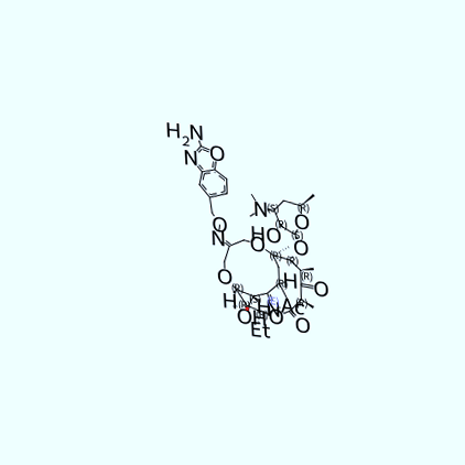 CC[C@H]1OC(=O)[C@H](C)C(=O)[C@H](C)[C@@H](O[C@@H]2O[C@H](C)C[C@H](N(C)C)[C@H]2O)[C@@]2(C)C[C@@H](C)/C(=N\C(C)=O)[C@H](C)[C@@H](OCC(=NOCc3ccc4oc(N)nc4c3)CO2)[C@]1(C)O